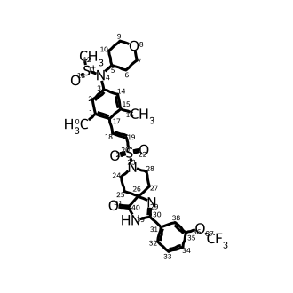 Cc1cc(N(C2CCOCC2)[S+](C)[O-])cc(C)c1/C=C/S(=O)(=O)N1CCC2(CC1)N=C(c1cccc(OC(F)(F)F)c1)NC2=O